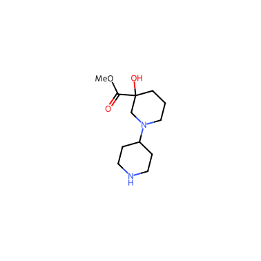 COC(=O)C1(O)CCCN(C2CCNCC2)C1